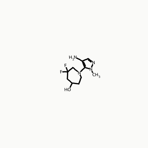 Cn1ncc(N)c1N1CCC(O)CC(F)(F)C1